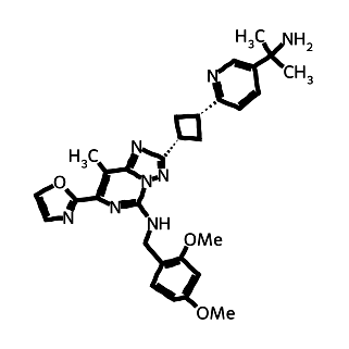 COc1ccc(CNc2nc(-c3ncco3)c(C)c3nc([C@H]4C[C@@H](c5ccc(C(C)(C)N)cn5)C4)nn23)c(OC)c1